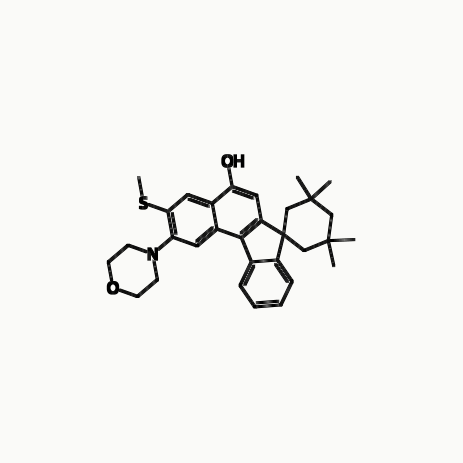 CSc1cc2c(O)cc3c(c2cc1N1CCOCC1)-c1ccccc1C31CC(C)(C)CC(C)(C)C1